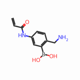 C=CC(=O)Nc1ccc(CN)c(B(O)O)c1